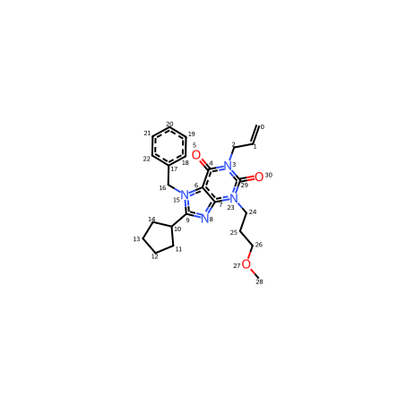 C=CCn1c(=O)c2c(nc(C3CCCC3)n2Cc2ccccc2)n(CCCOC)c1=O